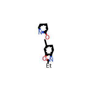 CCc1nc2ccc(COc3ccccn3)cc2o1